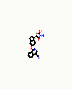 N#Cc1cnc(Oc2ccc3c(c2)CC[C@H]3C2SC(=O)NC2=O)c2ccccc12